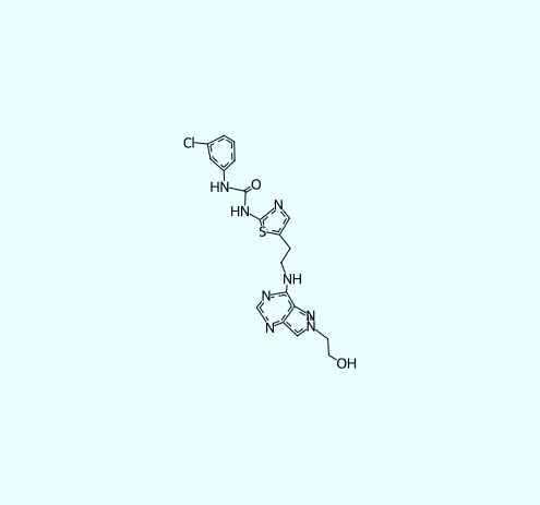 O=C(Nc1cccc(Cl)c1)Nc1ncc(CCNc2ncnc3cn(CCO)nc23)s1